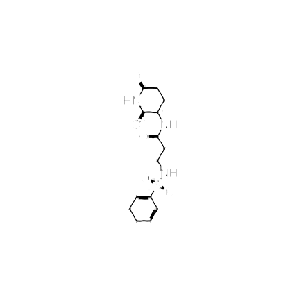 O=C1CCC(NC(=O)CCNS(=O)(=O)C2=CCCC=C2)C(=O)N1